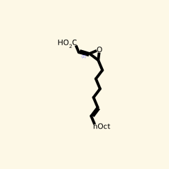 CCCCCCCCC=CCCCCC1O/C1=C\C(=O)O